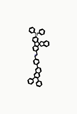 C(=C\c1ccc2c(c1)C1(Cc3ccccc3C1)c1cc(N(c3ccccc3)c3ccccc3)ccc1-2)/c1ccc(-c2ccc3cc(-c4ccccc4)c(-c4ccccc4)cc3c2)cc1